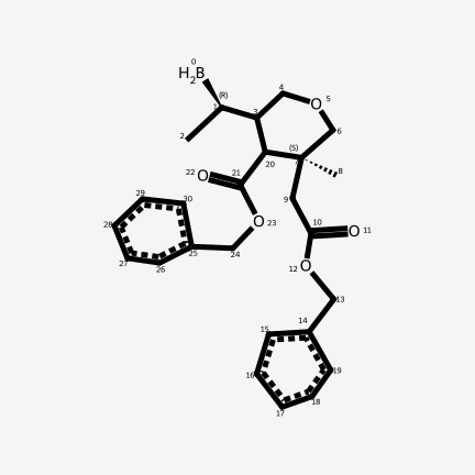 B[C@H](C)C1COC[C@@](C)(CC(=O)OCc2ccccc2)C1C(=O)OCc1ccccc1